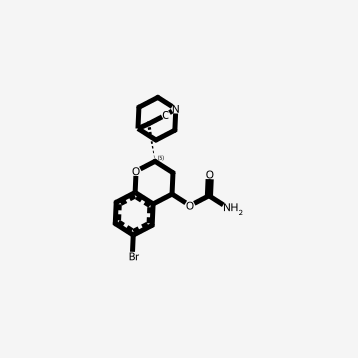 NC(=O)OC1C[C@@H](C2CN3CCC2CC3)Oc2ccc(Br)cc21